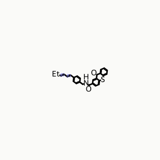 CC/C=C/C=C/c1ccc(CNC(=O)c2ccc3sc4ccccc4c(=O)c3c2)cc1